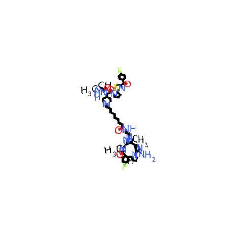 CN[C@H](C)C(=O)N[C@@H](C(=O)N1CCC[C@@H]1C1=NC(C(=O)c2ccc(F)cc2)CS1)C1CCN(CCCCCCCCC(=O)NCCn2nc3c(c2C)-c2cnc(N)c(c2)N2CCC[C@@H]2c2cc(F)ccc2C(=O)N(C)C3)CC1